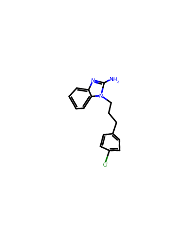 Nc1nc2ccccc2n1CCCc1ccc(Cl)cc1